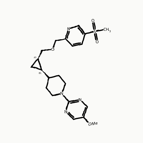 COc1cnc(N2CCC([C@H]3C[C@H]3COCc3ccc(S(C)(=O)=O)cn3)CC2)nc1